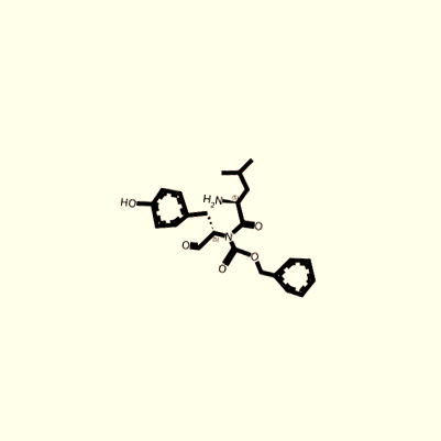 CC(C)C[C@H](N)C(=O)N(C(=O)OCc1ccccc1)[C@H](C=O)Cc1ccc(O)cc1